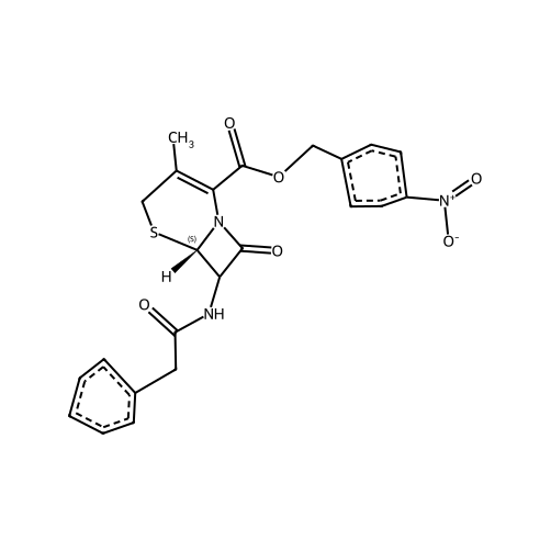 CC1=C(C(=O)OCc2ccc([N+](=O)[O-])cc2)N2C(=O)C(NC(=O)Cc3ccccc3)[C@@H]2SC1